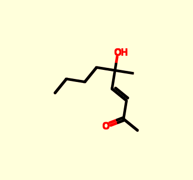 CCCCC(C)(O)C=CC(C)=O